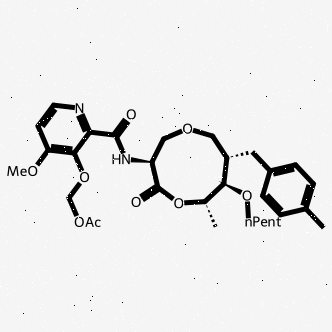 CCCCCO[C@@H]1[C@@H](Cc2ccc(C)cc2)COC[C@H](NC(=O)c2nccc(OC)c2OCOC(C)=O)C(=O)O[C@H]1C